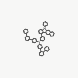 c1ccc(-c2cccc(-c3ccc(N(c4ccc(-c5ccccc5-c5ccccc5)cc4)c4cccc(-c5cccc6c5c5cc7ccccc7cc5n6-c5ccccc5)c4)cc3)c2)cc1